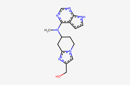 CN(c1ncnc2[nH]ccc12)C1CCn2cc(CO)nc2C1